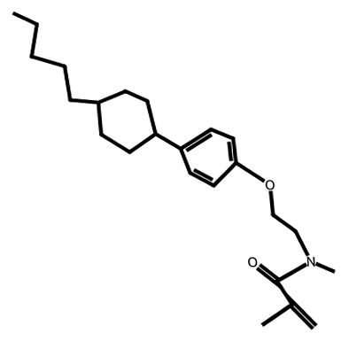 C=C(C)C(=O)N(C)CCOc1ccc(C2CCC(CCCCC)CC2)cc1